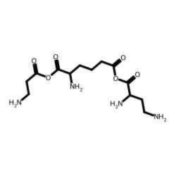 NCCC(=O)OC(=O)C(N)CCCC(=O)OC(=O)C(N)CCN